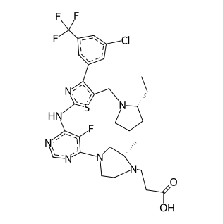 CC[C@@H]1CCCN1Cc1sc(Nc2ncnc(N3CCN(CCC(=O)O)[C@@H](C)C3)c2F)nc1-c1cc(Cl)cc(C(F)(F)F)c1